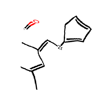 CC(C)=CC(C)=[CH][Zr][C]1=CC=CC1.[C]=O